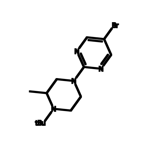 CC1CN(c2ncc(Br)cn2)CCN1C(C)(C)C